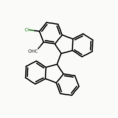 O=Cc1c(Cl)ccc2c1C(C1c3ccccc3-c3ccccc31)c1ccccc1-2